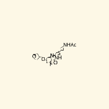 CC(=O)N[C@H]1C[C@@H](SCc2nc3cc(OCC4CCOCC4)cc(F)c3c(=O)[nH]2)C1